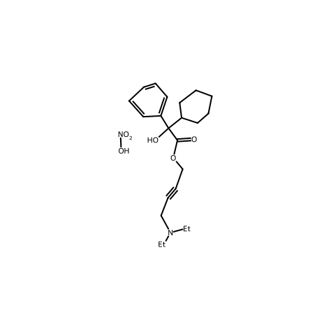 CCN(CC)CC#CCOC(=O)C(O)(c1ccccc1)C1CCCCC1.O=[N+]([O-])O